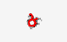 C=C1C(=O)N[C@@H](C)C(=O)N[C@@H](CC(C)C)C(=O)N[C@@H](C(=O)O)[C@H](C)C(=O)N[C@@H](CCCN=C(N)N)C(=O)N[C@@H](/C=C/C(C)=C/[C@H](C)[C@@H](O)Cc2ccccc2)[C@H](C)C(=O)N(C)[C@@H](C(=O)O)CCC(=O)N1C